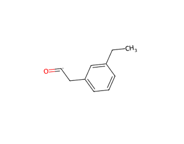 CCc1cccc(C[C]=O)c1